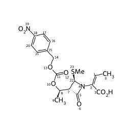 CC=C(C(=O)O)N1C(=O)[C@H]([C@@H](C)OC(=O)OCc2ccc([N+](=O)[O-])cc2)[C@H]1SC